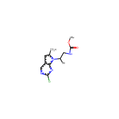 CCCCOC(=O)NCC(C(C)C)n1c(C(=O)O)cc2cnc(Cl)nc21